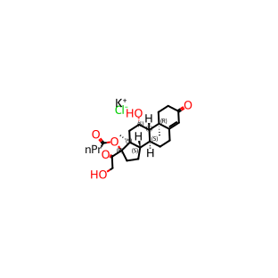 CCCC(=O)O[C@]1(C(=O)CO)CC[C@H]2[C@@H]3CCC4=CC(=O)CC[C@]4(C)[C@H]3[C@@H](O)C[C@@]21C.[Cl-].[K+]